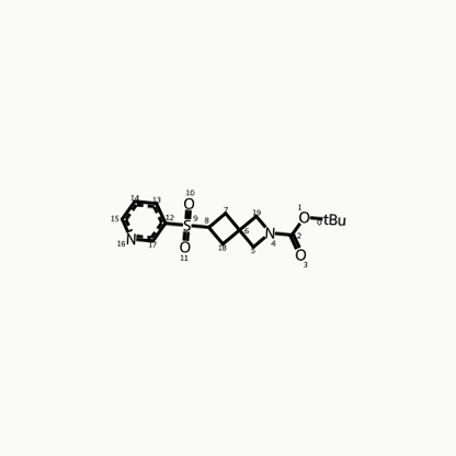 CC(C)(C)OC(=O)N1CC2(CC(S(=O)(=O)c3cccnc3)C2)C1